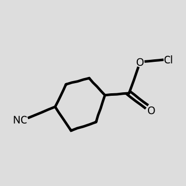 N#CC1CCC(C(=O)OCl)CC1